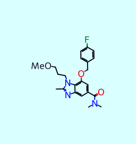 COCCCn1c(C)nc2cc(C(=O)N(C)C)cc(OCc3ccc(F)cc3)c21